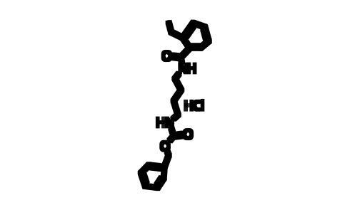 CCc1ccccc1C(=O)NCCCCNC(=O)OCc1ccccc1.Cl